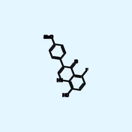 COc1ccc(-c2c[nH]c3c(O)ccc(F)c3c2=O)cc1